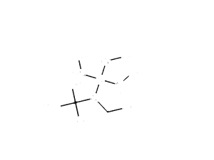 CCN(C(C)(C)C)[Si](NC)(NC)NC